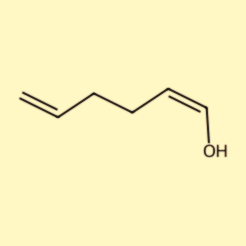 C=CCC/C=C\O